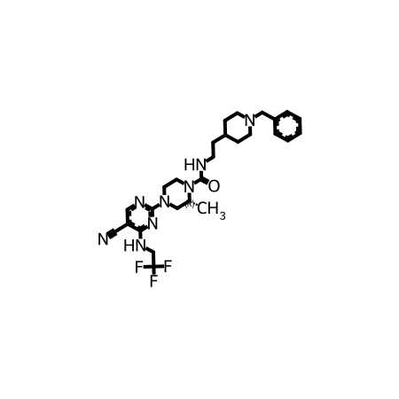 C[C@@H]1CN(c2ncc(C#N)c(NCC(F)(F)F)n2)CCN1C(=O)NCCC1CCN(Cc2ccccc2)CC1